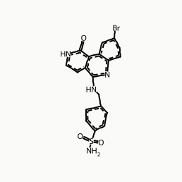 NS(=O)(=O)c1ccc(CNc2nc3ccc(Br)cc3c3c(=O)[nH]ccc23)cc1